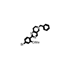 COc1cc(Br)ccc1-c1ncc2c(n1)CCN(Cc1ccccc1)C2